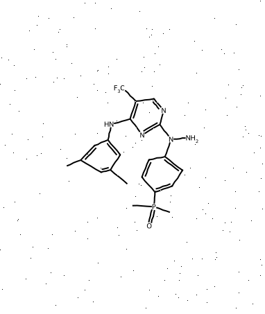 Cc1cc(C)cc(Nc2nc(N(N)c3ccc(P(C)(C)=O)cc3)ncc2C(F)(F)F)c1